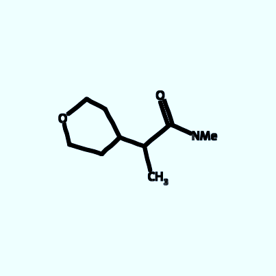 CNC(=O)C(C)C1CCOCC1